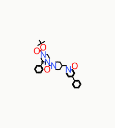 CC(C)(C)OC(=O)N1CCN(C(=O)N2CCC(Cn3ccc(-c4ccccc4)cc3=O)CC2)[C@H](c2ccccc2)C1